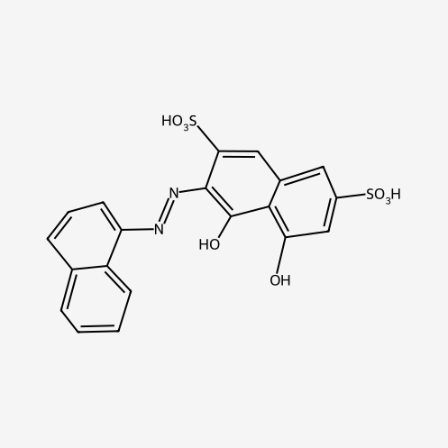 O=S(=O)(O)c1cc(O)c2c(O)c(/N=N/c3cccc4ccccc34)c(S(=O)(=O)O)cc2c1